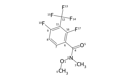 CON(C)C(=O)c1ccc(F)c(C(F)(F)F)c1F